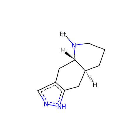 CCN1CCC[C@H]2Cc3[nH]ncc3C[C@@H]21